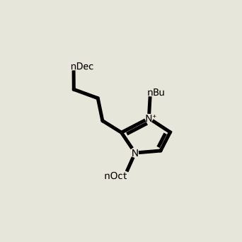 CCCCCCCCCCCCCc1n(CCCCCCCC)cc[n+]1CCCC